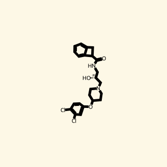 O=C(NC[C@@H](O)CN1CCC(Oc2ccc(Cl)c(Cl)c2)CC1)C1Cc2ccccc21